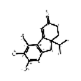 CC(C)C12CCC(=O)C=C1c1c(cc(O)c(Cl)c1Cl)C2